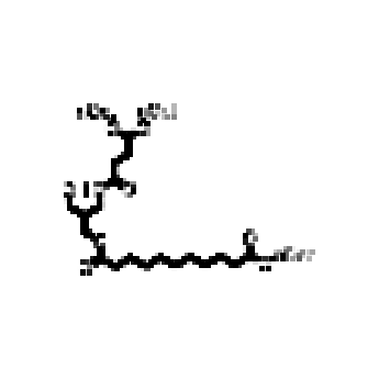 CCCCCCCCCCOC(=O)CCCCCCCCCC(=O)OCC(CO)COC(=O)CCC(OCCCCCCCC)OCCCCCCCC